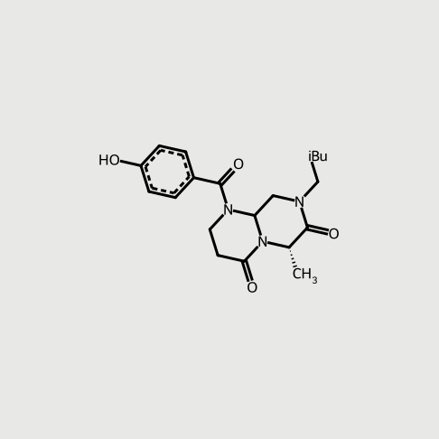 CCC(C)CN1CC2N(C(=O)c3ccc(O)cc3)CCC(=O)N2[C@@H](C)C1=O